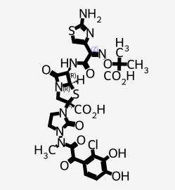 CN(C(=O)C(=O)c1ccc(O)c(O)c1Cl)N1CCN([C@]2(C(=O)O)CN3C(=O)[C@@H](NC(=O)/C(=N\OC(C)(C)C(=O)O)c4csc(N)n4)[C@H]3S2)C1=O